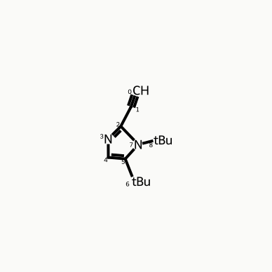 C#Cc1ncc(C(C)(C)C)n1C(C)(C)C